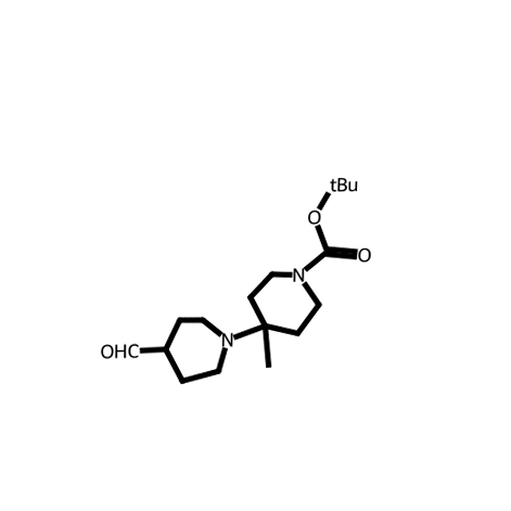 CC(C)(C)OC(=O)N1CCC(C)(N2CCC(C=O)CC2)CC1